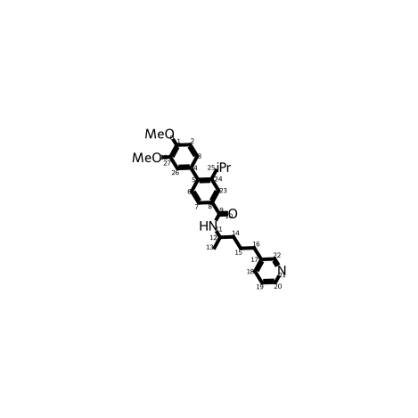 COc1ccc(-c2ccc(C(=O)NC(C)CCCc3cccnc3)cc2C(C)C)cc1OC